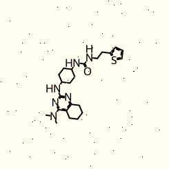 CN(C)c1nc(NC2CCC(NC(=O)NCCc3cccs3)CC2)nc2c1CCCC2